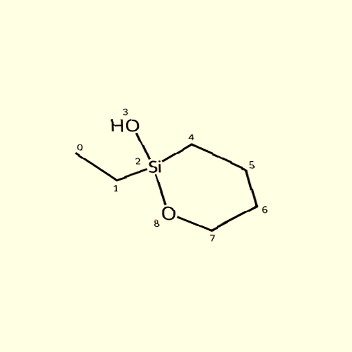 CC[Si]1(O)CCCCO1